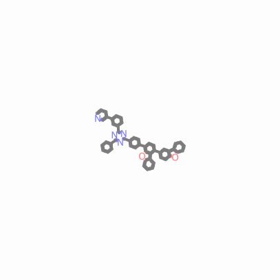 c1ccc(-c2nc(-c3ccc(-c4ccc(-c5ccc6oc7ccccc7c6c5)c5c4oc4ccccc45)cc3)nc(-c3cccc(-c4cccnc4)c3)n2)cc1